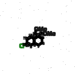 COCC1(COC)CCCc2cc(Cl)ccc21